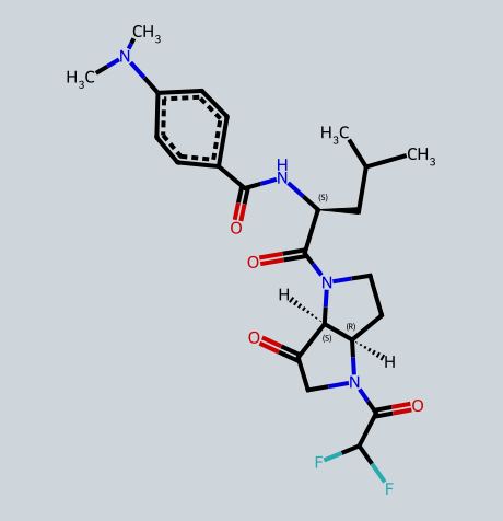 CC(C)C[C@H](NC(=O)c1ccc(N(C)C)cc1)C(=O)N1CC[C@@H]2[C@H]1C(=O)CN2C(=O)C(F)F